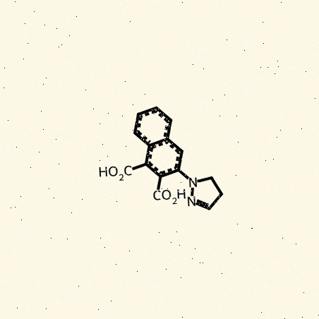 O=C(O)c1c(N2CCC=N2)cc2ccccc2c1C(=O)O